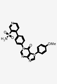 COc1ccc(-n2cnc3ncn(-c4ccc(-c5ccncc5S(N)(=O)=O)cc4)c(=O)c32)cc1